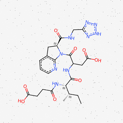 CC[C@H](C)[C@H](NC(=O)CCC(=O)O)C(=O)NC(CC(=O)O)C(=O)N1c2ncccc2C[C@H]1C(=O)NCc1nn[nH]n1